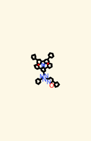 c1ccc(-c2ccc3c(c2)c2cc(-c4ccccc4)ccc2n3-c2c(-c3ccccc3)cc(-c3nc(-c4ccccc4)nc(-c4ccc5c(n4)oc4ccccc45)n3)cc2-c2ccccc2)cc1